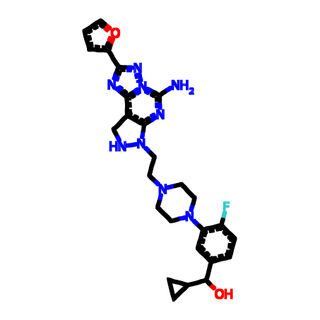 Nc1nc2c(c3nc(-c4ccco4)nn13)CNN2CCN1CCN(c2cc(C(O)C3CC3)ccc2F)CC1